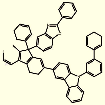 CC1=C(/C=C\I)C2=C(C=C(c3ccc4c(c3)c3ccccc3n4-c3cccc(C4=CCCC=C4)c3)CC2)C1(C1=CC=CCC1)c1ccc2oc(-c3ccccc3)nc2c1